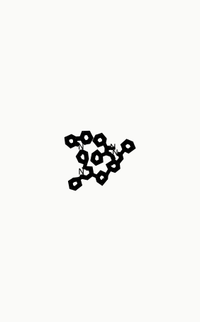 c1ccc(-c2cc(-c3cccc(-c4ccc5cc(-c6ccccc6)n6nc(-c7ccccc7)c(-c7ccccc7)c6c5c4)c3)cc(-c3ccc(-n4c5ccccc5c5ccccc54)cc3)n2)cc1